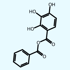 O=C(OC(=O)c1ccc(O)c(O)c1O)c1ccccc1